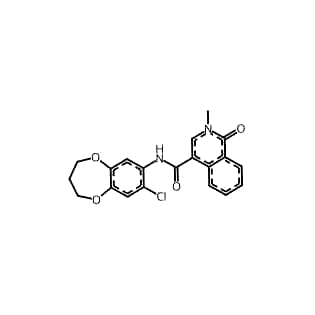 Cn1cc(C(=O)Nc2cc3c(cc2Cl)OCCCO3)c2ccccc2c1=O